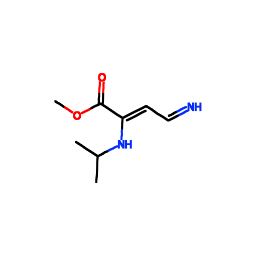 COC(=O)/C(=C/C=N)NC(C)C